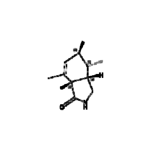 CC1=C[C@@H](C)[C@H](C)[C@@H]2CNC(=O)[C@]12C